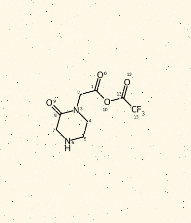 O=C(CN1CCNCC1=O)OC(=O)C(F)(F)F